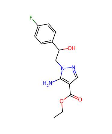 CCOC(=O)c1cnn(CC(O)c2ccc(F)cc2)c1N